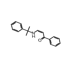 CC(C)(N/C=C\C(=O)c1ccccc1)c1ccccc1